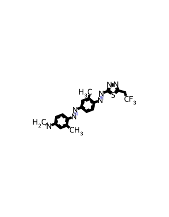 C=Nc1ccc(/N=N/c2ccc(/N=N/c3nnc(CC(F)(F)F)s3)c(C)c2)c(C)c1